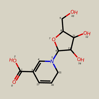 O=C(O)C1=CN(C2OC(CO)C(O)C2O)CC=C1